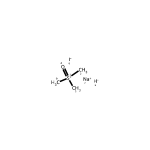 C[S+](C)(C)=O.[H-].[I-].[Na+]